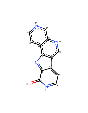 O=C1N=CC=C2C1=Nc1c2cnc2cnccc12